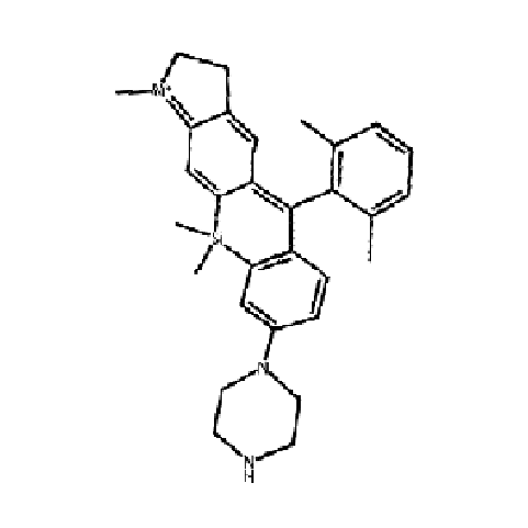 Cc1cccc(C)c1C1=c2cc3c(cc2[Si](C)(C)c2cc(N4CCNCC4)ccc21)=[N+](C)CC3